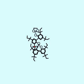 CCC(C)(C)c1cc(-c2cc(C(C)(C)CC)cc(C(C)(C)CC)c2Op2oc3c(C(C)(C)CC)cc(C(C)(C)CC)cc3c3cc(C(C)(C)CC)cc(C(C)(C)CC)c3o2)c(OP2OCCO2)c(C(C)(C)CC)c1